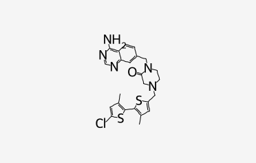 Cc1cc(Cl)sc1-c1sc(CN2CCN(Cc3ccc4c(N)ncnc4c3)C(=O)C2)cc1C